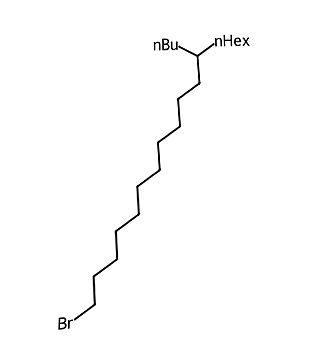 CCCCCCC(CCCC)CCCCCCCCCCCBr